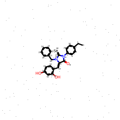 CCc1ccc(N2C(=O)C(=Cc3ccc(O)cc3O)N(Cc3ccccc3)C2=[Se])cc1